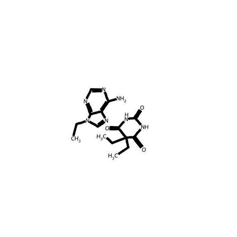 CCC1(CC)C(=O)NC(=O)NC1=O.CCn1cnc2c(N)ncnc21